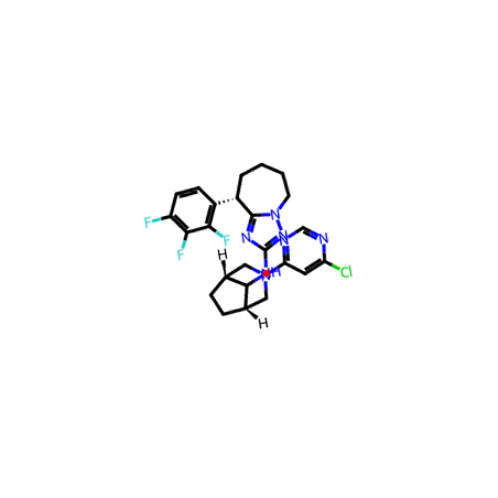 Fc1ccc([C@@H]2CCCCn3nc(NC4[C@@H]5CC[C@H]4CN(c4cc(Cl)ncn4)C5)nc32)c(F)c1F